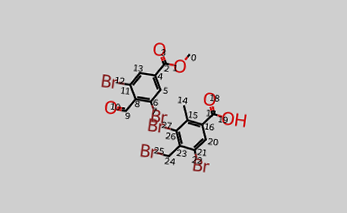 COC(=O)c1cc(Br)c(C=O)c(Br)c1.Cc1c(C(=O)O)cc(Br)c(CBr)c1Br